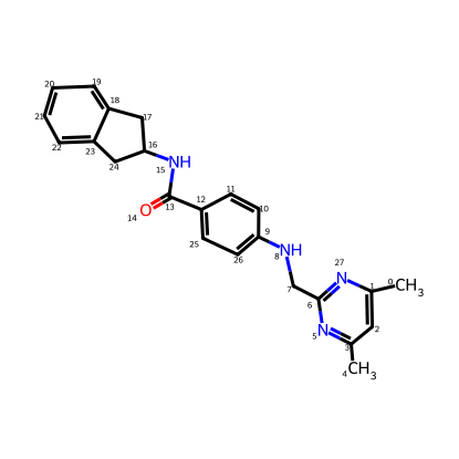 Cc1cc(C)nc(CNc2ccc(C(=O)NC3Cc4ccccc4C3)cc2)n1